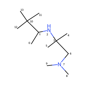 CC(NC(C)(C)CN(C)C)C(C)(C)C